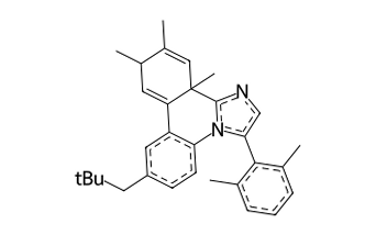 CC1=CC2(C)C(=CC1C)c1cc(CC(C)(C)C)ccc1-n1c(-c3c(C)cccc3C)cnc12